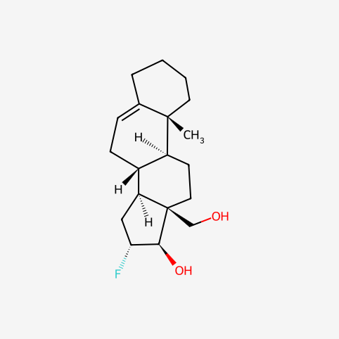 C[C@]12CCCCC1=CC[C@H]1[C@@H]3C[C@@H](F)[C@H](O)[C@@]3(CO)CC[C@@H]12